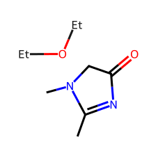 CC1=NC(=O)CN1C.CCOCC